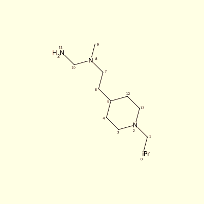 CC(C)CN1CCC(CCN(C)CN)CC1